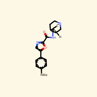 CNc1ccc(-c2cnc(C(=O)N[C@H]3CN4CCC3CC4)o2)cc1